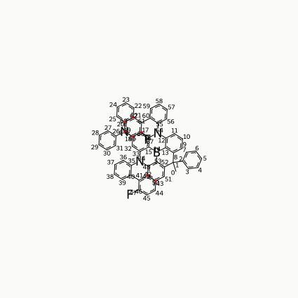 CC1(c2ccccc2)c2cccc3c2B2c4c(cc(N(c5ccccc5)c5ccccc5)cc4N(c4ccccc4-c4ccccc4F)c4cccc1c42)N3c1ccccc1-c1ccccc1F